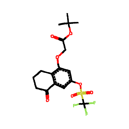 CC(C)(C)OC(=O)COc1cc(OS(=O)(=O)C(F)(F)F)cc2c1CCCC2=O